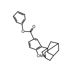 COc1ccc(C(=O)Oc2ccccc2)cc1C12CC3CC(CC(C3)C1)C2